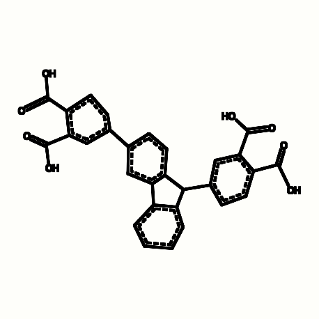 O=C(O)c1ccc(-c2ccc3c(c2)-c2ccccc2C3c2ccc(C(=O)O)c(C(=O)O)c2)cc1C(=O)O